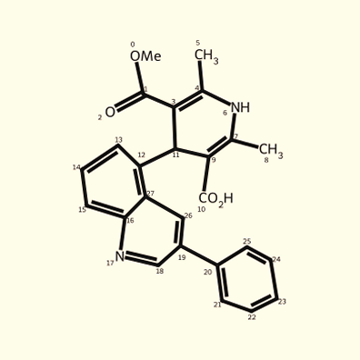 COC(=O)C1=C(C)NC(C)=C(C(=O)O)C1c1cccc2ncc(-c3ccccc3)cc12